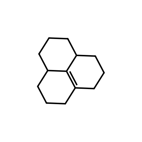 C1CC2=C3C(C1)CCCC3CCC2